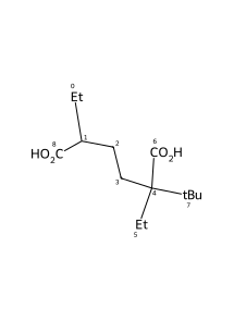 CCC(CCC(CC)(C(=O)O)C(C)(C)C)C(=O)O